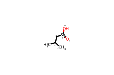 CC(C)[CH2][Sn](=[O])[OH]